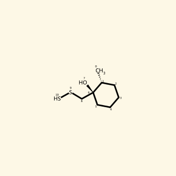 C[C@@H]1CCCC[C@]1(O)CSS